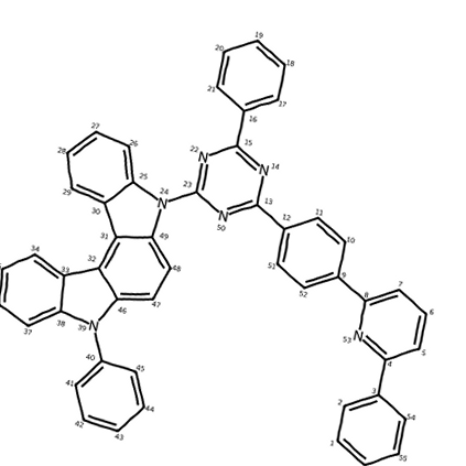 c1ccc(-c2cccc(-c3ccc(-c4nc(-c5ccccc5)nc(-n5c6ccccc6c6c7c8ccccc8n(-c8ccccc8)c7ccc65)n4)cc3)n2)cc1